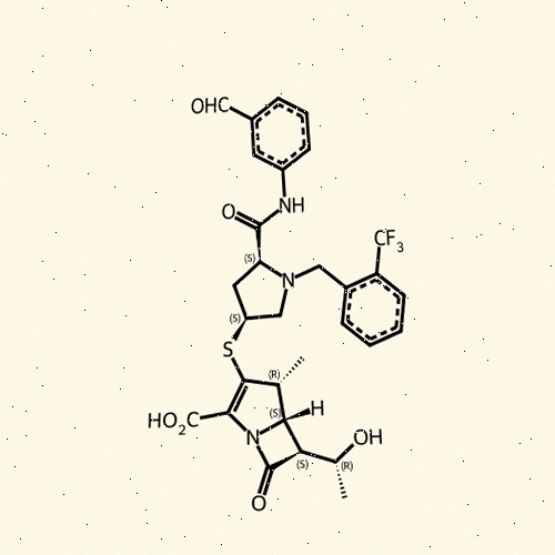 C[C@@H](O)[C@H]1C(=O)N2C(C(=O)O)=C(S[C@H]3C[C@@H](C(=O)Nc4cccc(C=O)c4)N(Cc4ccccc4C(F)(F)F)C3)[C@H](C)[C@H]12